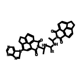 CCC(NC(C)N1C(=O)c2ccc3c4c(ccc(c24)C1=O)CC3)NC(C)N1C(=O)c2ccc3c4c(c(-n5cnc6ncncc65)cc(c24)C1=O)CC3